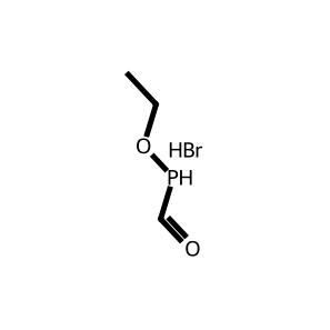 Br.CCOPC=O